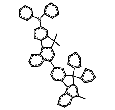 Cc1cc2c(c3ccccc13)-c1ccc(-c3cc4c(c5ccccc35)-c3ccc(N(c5ccccc5)c5ccccc5)cc3C4(C)C)cc1C2(c1ccccc1)c1ccccc1